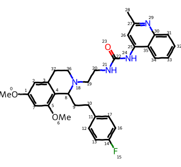 COc1cc2c(c(OC)c1)C(CCc1ccc(F)cc1)N(CCNC(=O)Nc1cc(C)nc3ccccc13)CC2